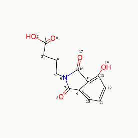 O=C(O)CCCN1C(=O)c2cccc(O)c2C1=O